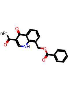 CCCC(=O)c1c[nH]c2c(COC(=O)c3ccccc3)cccc2c1=O